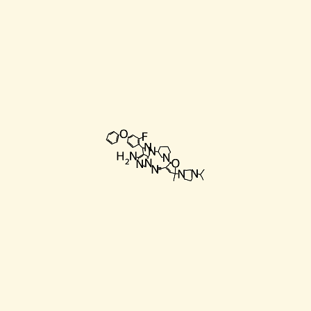 CC(C)N1CCN(C(C)(C)/C=C(/C#N)C(=O)N2CCC[C@H](n3nc(-c4ccc(Oc5ccccc5)cc4F)c4c(N)ncnc43)C2)CC1